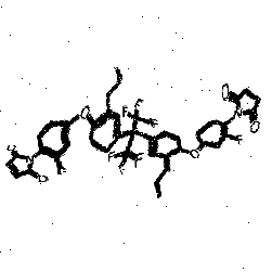 CCCc1cc(C(c2ccc(Oc3ccc(N4C(=O)C=CC4=O)c(F)c3)c(CCC)c2)(C(F)(F)F)C(F)(F)F)ccc1Oc1ccc(N2C(=O)C=CC2=O)c(F)c1